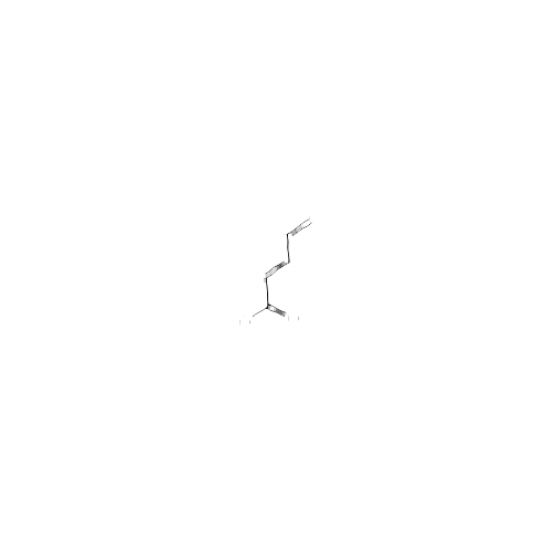 C=C/C=C/C([O])=O